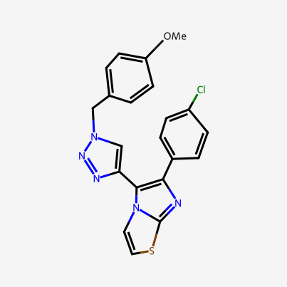 COc1ccc(Cn2cc(-c3c(-c4ccc(Cl)cc4)nc4sccn34)nn2)cc1